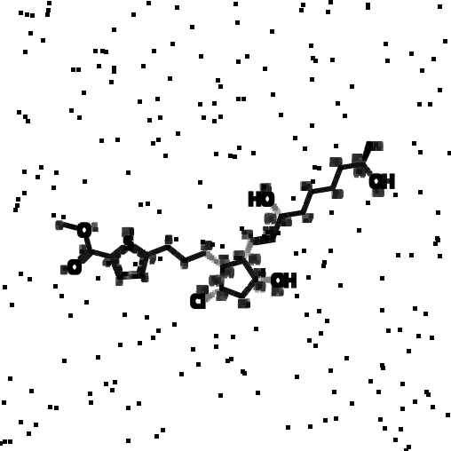 COC(=O)c1ccc(CCC[C@@H]2[C@H](C=C[C@H](O)CCCC[C@@H](C)O)[C@H](O)C[C@@H]2Cl)s1